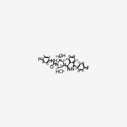 Cl.O=C(Nc1ccc(F)cc1)N1CCN(c2nnc(-c3ccc(F)cc3)c3ccccc23)C[C@H]1CO